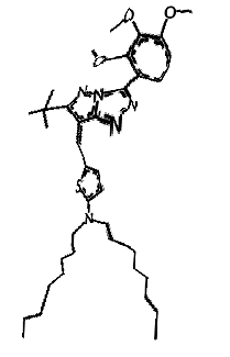 CCCCCCCCN(CCCCCCCC)c1ccc(/C=c2/c(C(C)(C)C)nn3c(-c4ccc(OC)c(OC)c4OC)nnc23)s1